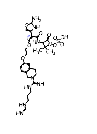 CC1(C)C(NC(=O)/C(=N\OCCOc2ccc3c(c2)CCN(C(=N)NCCCNC=N)C3)C2=CSC(N)N2)C(=O)N1OS(=O)(=O)O